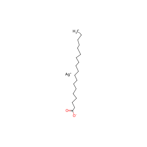 CCCCCCCCCCCCCCCCCCC(=O)[O-].[Ag+]